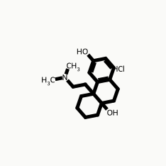 CN(C)CCC12CCCCC1(O)CCc1ccc(O)cc12.Cl